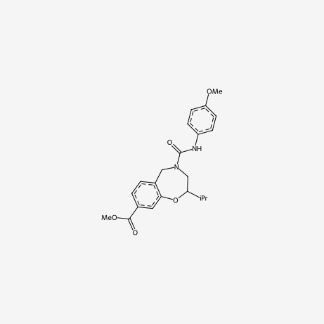 COC(=O)c1ccc2c(c1)OC(C(C)C)CN(C(=O)Nc1ccc(OC)cc1)C2